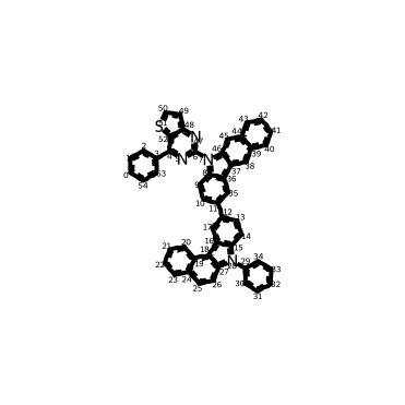 c1ccc(-c2nc(-n3c4ccc(-c5ccc6c(c5)c5c7ccccc7ccc5n6-c5ccccc5)cc4c4cc5ccccc5cc43)nc3ccsc23)cc1